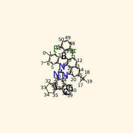 Cc1cc2c(cc1C)-n1c3c(ccc4cc(C(C)(C)C)cc(c43)n3c4c5c(c6c(c4nc13)C1CCC6CC1)C1CCC5CC1)B2c1c(F)cccc1F